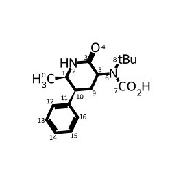 C[C@H]1NC(=O)C(N(C(=O)O)C(C)(C)C)C[C@H]1c1ccccc1